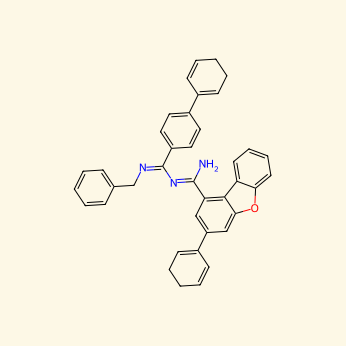 N/C(=N\C(=N/Cc1ccccc1)c1ccc(C2=CCCC=C2)cc1)c1cc(C2=CCCC=C2)cc2oc3ccccc3c12